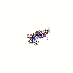 CC(C)(C)OC(=O)N(Cc1cc(F)c(-n2c(N)c(C(=O)c3ccc(F)cc3)ccc2=O)c(F)c1)c1c(CCC(=O)O)cccc1C1CCCC1